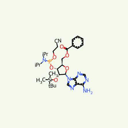 CC(C)N(C(C)C)P(OCCC#N)O[C@H]1[C@@H](O[Si](C)(C)C(C)(C)C)[C@H](n2cnc3c(N)ncnc32)O[C@@H]1COC(=O)c1ccccc1